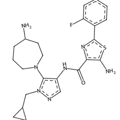 Nc1sc(-c2ccccc2F)nc1C(=O)Nc1cnn(CC2CC2)c1N1CCCC(N)CC1